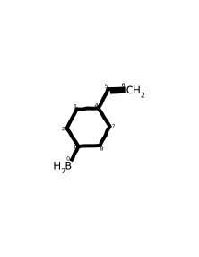 BC1CCC(C=C)CC1